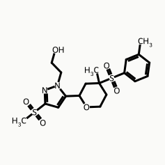 Cc1cccc(S(=O)(=O)C2(C)CCOC(c3cc(S(C)(=O)=O)nn3CCO)C2)c1